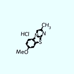 COc1ccc2c(c1)sc1nc(C)cn12.Cl